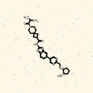 CC(C)C(=O)N1CCC2(CC1)CC(C(=O)Nc1nc3ccc(-c4cnc(CO[C@H]5CCC[C@@H]5O)nc4)cc3s1)C2